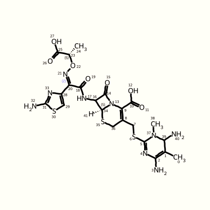 CC1=C(N)N=C(SCC2=C(C(=O)O)N3C(=O)C(NC(=O)/C(=N\O[C@@H](C)C(=O)O)c4csc(N)n4)[C@@H]3SC2)N(C)C1N